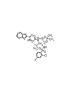 CC(C)C[C@H](NC(=O)c1cc2ccccc2s1)C(=O)NC[C@H]1OC(C)(C)O[C@@H]1CNS(=O)(=O)c1ccc(F)cc1Cl